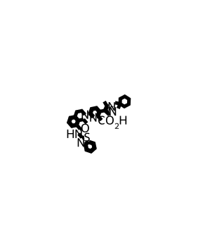 Cc1c(-c2ccc(N3CCc4cccc(C(=O)Nc5nc6ccccc6s5)c4C3C)nc2C(=O)O)cnn1CC1(C)CCCCC1